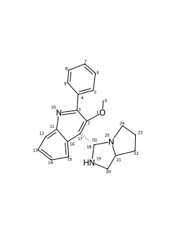 COc1c(-c2ccccc2)nc2ccccc2c1[C@H]1NCC2CCCN21